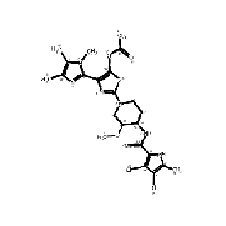 CO[C@H]1CN(c2nc(-c3nc(C)c(C)n3C)c(OC(=O)O)s2)CC[C@H]1NC(=O)c1[nH]c(C)c(Cl)c1Cl